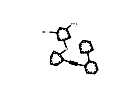 O=C(O)c1cc(Oc2ccccc2C#Cc2ccccc2-c2ccccc2)cc(C(=O)O)c1